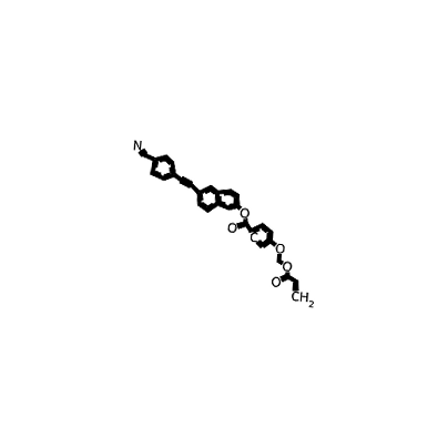 C=CC(=O)OCOc1ccc(C(=O)Oc2ccc3cc(C#Cc4ccc(C#N)cc4)ccc3c2)cc1